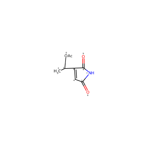 CC(=O)OC(C)C1=CC(=O)NC1=O